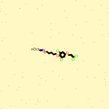 CCCCCCCCC=NOCCCCCOc1c(Cl)cc(OCC=C(Cl)Cl)cc1Cl